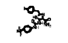 NC(=O)c1nc(Cc2ccc(I)cc2)[nH]c1NC(=O)Nc1ccc(C(F)(F)F)cc1